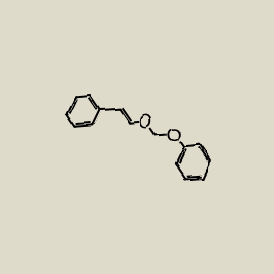 C(=Cc1ccccc1)OCOc1ccccc1